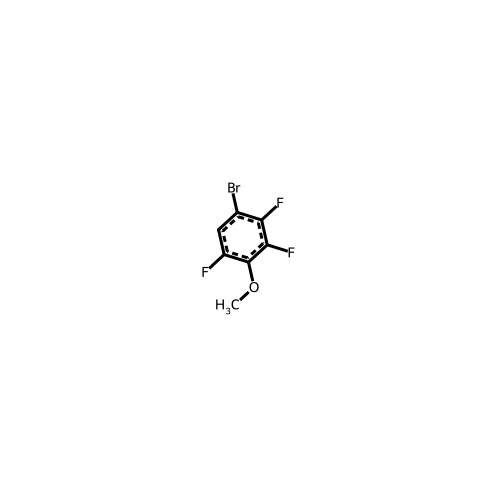 COc1c(F)cc(Br)c(F)c1F